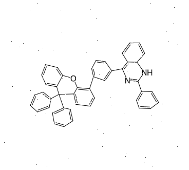 C1=CC2=C(c3cccc(-c4cccc5c4Oc4ccccc4C5(c4ccccc4)c4ccccc4)c3)N=C(c3ccccc3)NC2C=C1